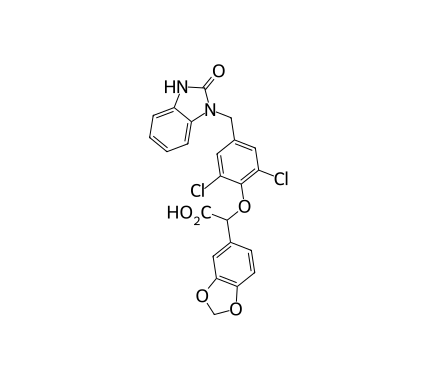 O=C(O)C(Oc1c(Cl)cc(Cn2c(=O)[nH]c3ccccc32)cc1Cl)c1ccc2c(c1)OCO2